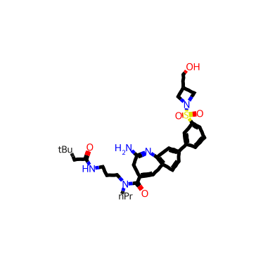 CCCN(CCCNC(=O)CC(C)(C)C)C(=O)C1=Cc2ccc(-c3cccc(S(=O)(=O)N4CC(CO)C4)c3)cc2N=C(N)C1